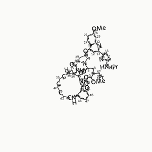 COC(=O)[C@@H](CC(=O)N1C[C@H](Oc2cc(-c3csc(NC(C)C)n3)nc3cc(OC)ccc23)C[C@H]1C(=O)N[C@]12C[C@H]1CCCCCCCNc1ccccc1S(=O)(=O)NC2=O)CC(C)C